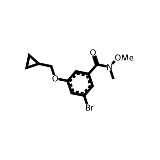 CON(C)C(=O)c1cc(Br)cc(OCC2CC2)c1